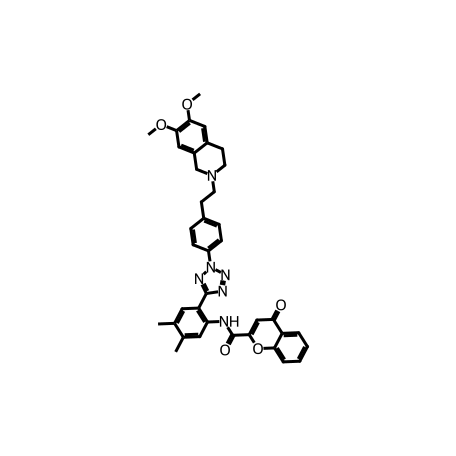 COc1cc2c(cc1OC)CN(CCc1ccc(-n3nnc(-c4cc(C)c(C)cc4NC(=O)c4cc(=O)c5ccccc5o4)n3)cc1)CC2